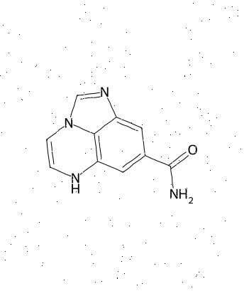 NC(=O)c1cc2c3c(c1)ncn3C=CN2